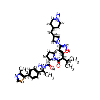 Cc1ncsc1-c1ccc(C(C)NC(=O)[C@@H]2CCCN2C(=O)C(c2cc(N3CC(CC4CCNCC4)C3)no2)C(C)C)cc1